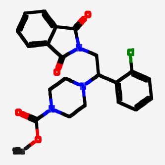 CC(C)(C)OC(=O)N1CCN(C(CN2C(=O)c3ccccc3C2=O)c2ccccc2Cl)CC1